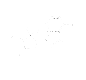 COC1[C@@H](CO)O[C@@H](n2cnc3c(N)ncnc32)C1(C)O